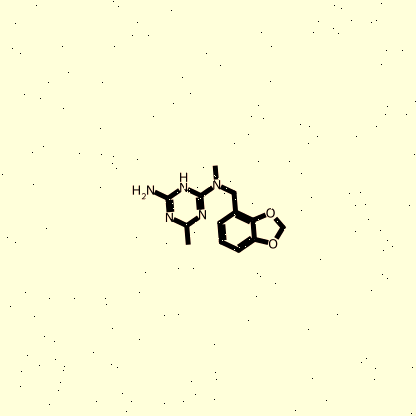 CC1N=C(N)NC(N(C)Cc2cccc3c2OCO3)=N1